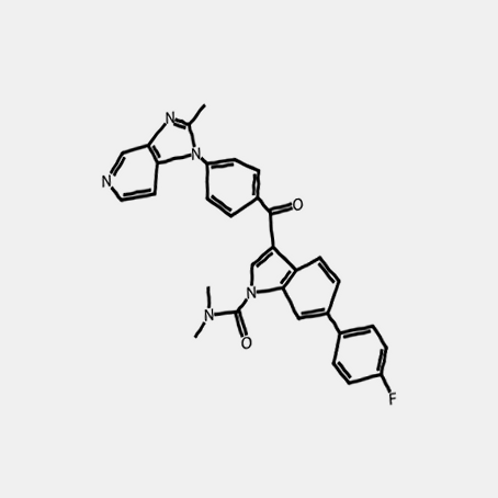 Cc1nc2cnccc2n1-c1ccc(C(=O)c2cn(C(=O)N(C)C)c3cc(-c4ccc(F)cc4)ccc23)cc1